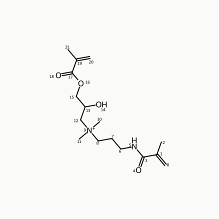 C=C(C)C(=O)NCCC[N+](C)(C)CC(O)COC(=O)C(=C)C